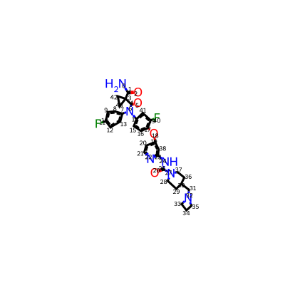 NC(=O)C1(C(=O)N(c2ccc(F)cc2)c2ccc(Oc3ccnc(NC(=O)N4CCC(CN5CCC5)CC4)c3)c(F)c2)CC1